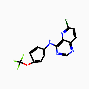 FC(F)(F)Oc1ccc(Nc2ncnc3ccc(Cl)nc23)cc1